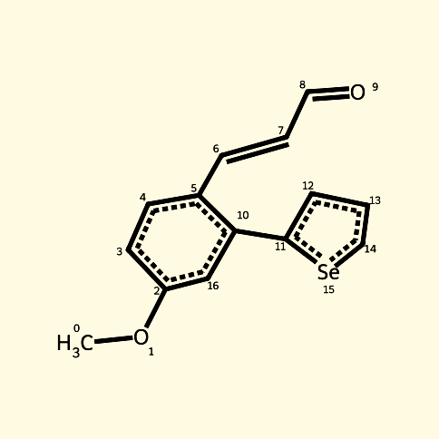 COc1ccc(C=CC=O)c(-c2ccc[se]2)c1